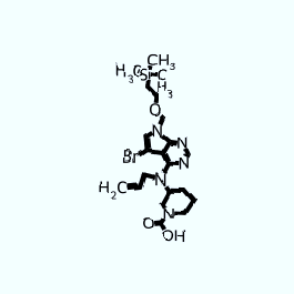 C=CCN(c1ncnc2c1c(Br)cn2COCC[Si](C)(C)C)C1CCCN(C(=O)O)C1